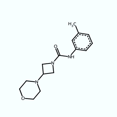 Cc1cccc(NC(=O)N2CC(N3CCOCC3)C2)c1